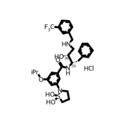 CC(C)Oc1cc(C(=O)N[C@@H](Cc2ccccc2)[C@H](O)CNCc2cccc(C(F)(F)F)c2)cc(N2CCCS2(O)O)c1.Cl